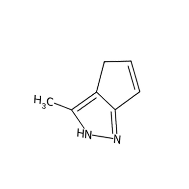 Cc1[nH]nc2c1CC=C2